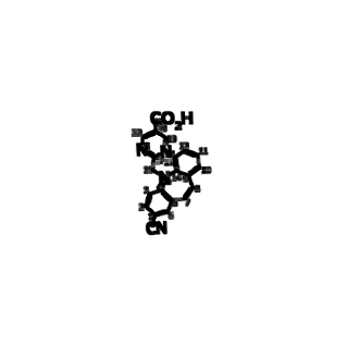 N#Cc1ccc2c(c1)C=Cc1ccccc1N2Cc1ncc(C(=O)O)cn1